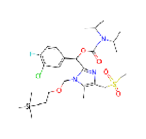 Cc1c(CS(C)(=O)=O)nc(C(OC(=O)N(C(C)C)C(C)C)c2ccc(F)c(Cl)c2)n1COCC[Si](C)(C)C